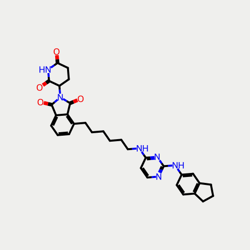 O=C1CCC(N2C(=O)c3cccc(CCCCCCNc4ccnc(Nc5ccc6c(c5)CCC6)n4)c3C2=O)C(=O)N1